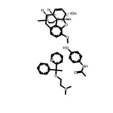 CC(=O)Nc1ccc(O)cc1.CN(C)CCOC(C)(c1ccccc1)c1ccccn1.COc1ccc2c3c1O[C@H]1[C@@H](O)C=C[C@H]4[C@@H](C2)N(C)CC[C@@]341